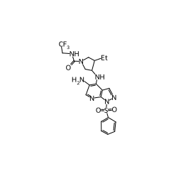 CCC1CN(C(=O)NCC(F)(F)F)CC1Nc1c(N)cnc2c1cnn2S(=O)(=O)c1ccccc1